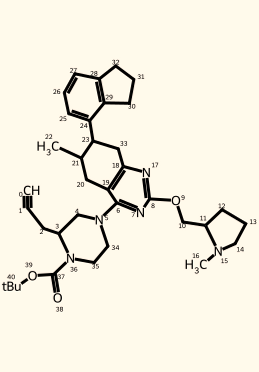 C#CCC1CN(c2nc(OCC3CCCN3C)nc3c2CC(C)C(c2cccc4c2CCC4)C3)CCN1C(=O)OC(C)(C)C